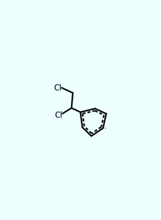 ClCC(Cl)c1cc[c]cc1